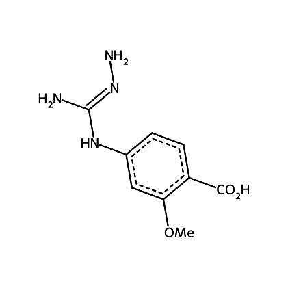 COc1cc(NC(N)=NN)ccc1C(=O)O